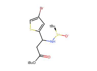 CC(C)COC(=O)CC(N[S@+]([O-])C(C)(C)C)c1cc(Br)cs1